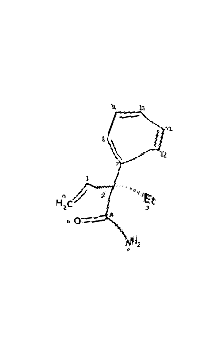 C=C[C@](CC)(C(N)=O)c1ccccc1